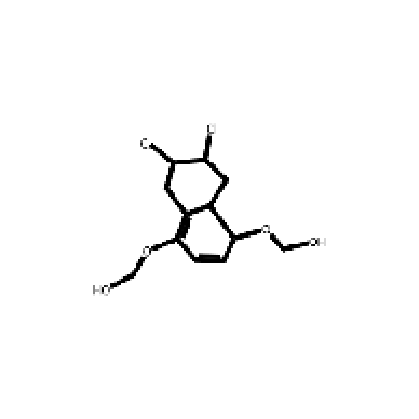 OCOC1=C2CC(Cl)C(Cl)CC2C(OCO)C=C1